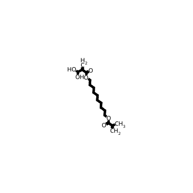 C=C(C)C(=O)OCCCCCCCCCCOC(=O)C(=C)C(O)O